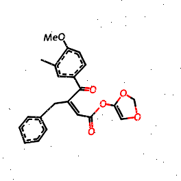 COc1ccc(C(=O)C(=CC(=O)OC2=COCO2)Cc2ccccc2)cc1C